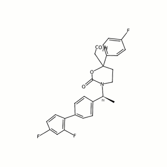 C[C@@H](c1ccc(-c2ccc(F)cc2F)cc1)N1CCC(CC(=O)O)(c2ccc(F)cc2)OC1=O